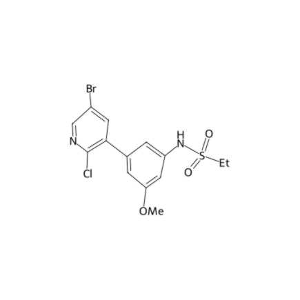 CCS(=O)(=O)Nc1cc(OC)cc(-c2cc(Br)cnc2Cl)c1